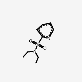 CCN(CC)S(=O)(=O)c1ccccn1